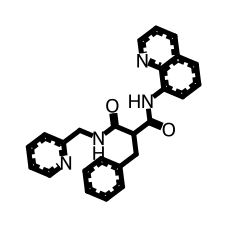 O=C(NCc1ccccn1)C(Cc1ccccc1)C(=O)Nc1cccc2cccnc12